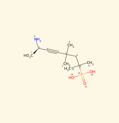 CC(C)(C#C[C@H](N)C(=O)O)CC(C)(C)P(=O)(O)O